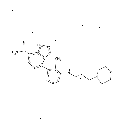 Cc1c(NCCCN2CCOCC2)cccc1-c1ccc(C(N)=O)c2[nH]ccc12